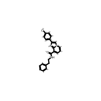 O=C(NCCc1ccccc1)c1cccn2cc(-c3ccc(Cl)cc3)nc12